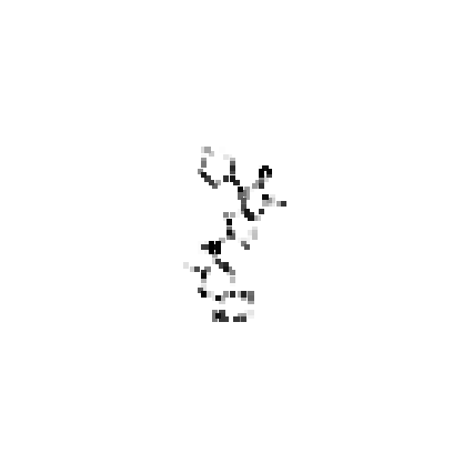 Cc1nc2nccnc2cc1Nc1ncc2c(n1)n(C1CCOCC1)c(=O)n2C